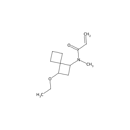 C=CC(=O)N(C)C1CC(OCC)C12CCC2